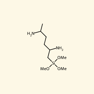 CO[Si](CC(N)CCC(C)N)(OC)OC